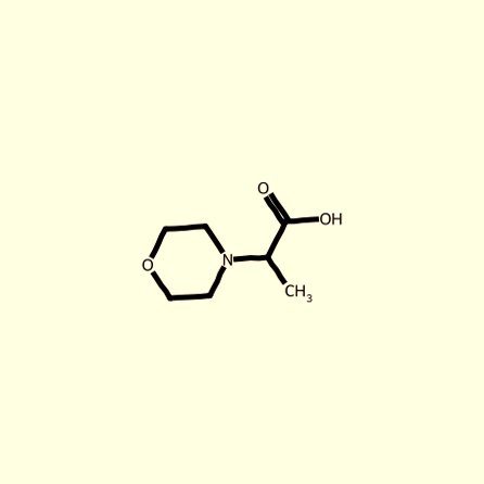 CC(C(=O)O)N1CCOCC1